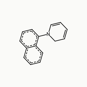 C1=CCN(c2cccc3ccccc23)C=C1